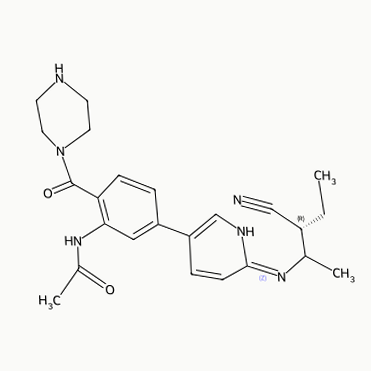 CC[C@@H](C#N)C(C)/N=c1/ccc(-c2ccc(C(=O)N3CCNCC3)c(NC(C)=O)c2)c[nH]1